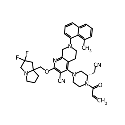 C=CC(=O)N1CCN(c2c(C#N)c(OCC34CCCN3CC(F)(F)C4)nc3c2CCN(c2cccc4cccc(C)c24)C3)C[C@@H]1CC#N